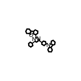 c1ccc(-c2cc(-c3ccc(-n4c5ccccc5c5ccccc54)cc3)nc(-c3cccc4c3oc3ccccc34)n2)cc1